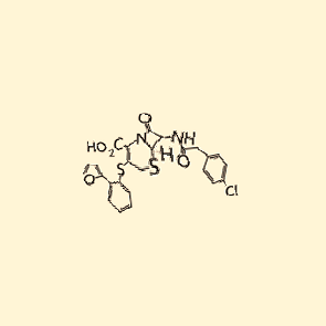 O=C(Cc1ccc(Cl)cc1)N[C@@H]1C(=O)N2C(C(=O)O)=C(Sc3ccccc3-c3ccco3)CS[C@H]12